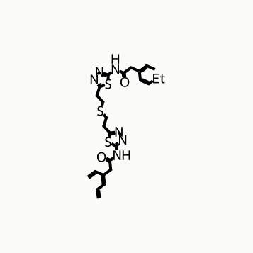 C=C/C=C(\C=C)CC(=O)Nc1nnc(CCSCCc2nnc(NC(=O)CC(/C=C\CC)=C/C)s2)s1